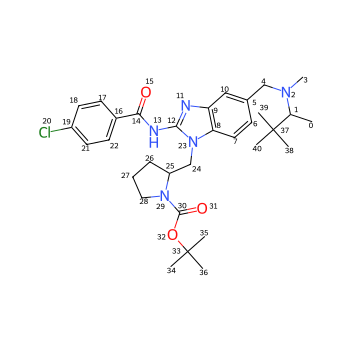 CC(N(C)Cc1ccc2c(c1)nc(NC(=O)c1ccc(Cl)cc1)n2CC1CCCN1C(=O)OC(C)(C)C)C(C)(C)C